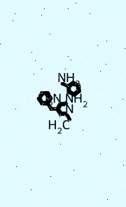 C=Cc1cc(Cc2ccccc2)c([N+](=O)[O-])c(N)n1.NCc1ccccc1